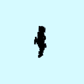 CCCCCOc1ccc(NC(=S)NC(=O)c2csc(-c3cccnc3)n2)cc1F